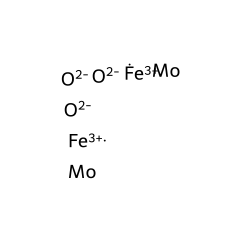 [Fe+3].[Fe+3].[Mo].[Mo].[O-2].[O-2].[O-2]